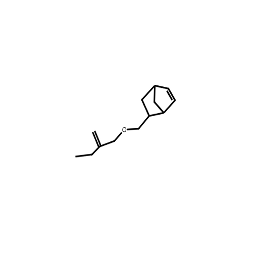 C=C(CC)COCC1CC2C=CC1C2